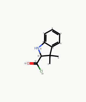 CC1(C)c2ccccc2NC1C(=O)Cl